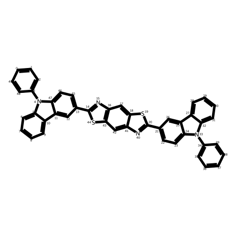 c1ccc(-n2c3ccccc3c3cc(-c4nc5cc6sc(-c7ccc8c(c7)c7ccccc7n8-c7ccccc7)nc6cc5s4)ccc32)cc1